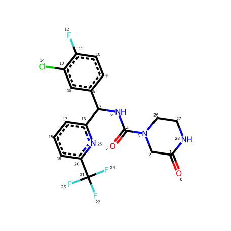 O=C1CN(C(=O)NC(c2ccc(F)c(Cl)c2)c2cccc(C(F)(F)F)n2)CCN1